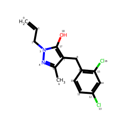 C=CCn1nc(C)c(Cc2ccc(Cl)cc2Cl)c1O